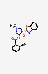 CCCc1ccccc1C(=O)OC1CN(C)C[N+]1([O-])c1nc2ccccc2s1